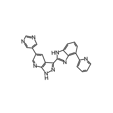 c1ccc(-c2cccc3[nH]c(-c4n[nH]c5ncc(-c6cncnc6)cc45)nc23)nc1